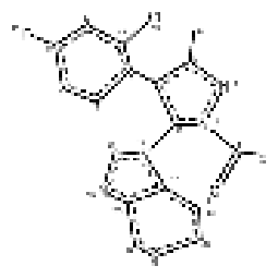 CC(=O)n1nc(C)c(-c2ccc(F)cc2Cl)c1-n1cnc2ccccc21